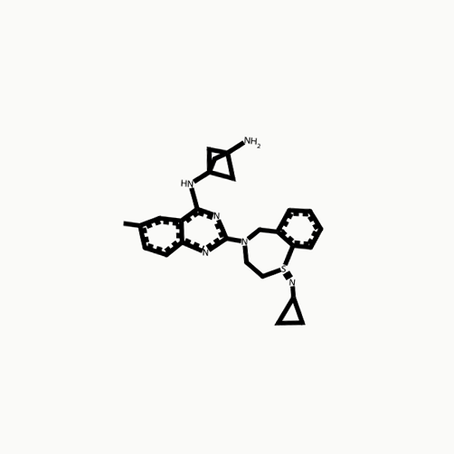 Cc1ccc2nc(N3CCS(=NC4CC4)c4ccccc4C3)nc(NC34CC(N)(C3)C4)c2c1